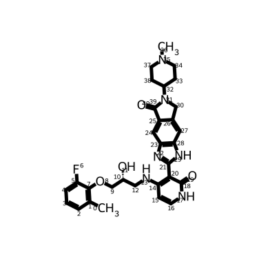 Cc1cccc(F)c1OC[C@H](O)CNc1cc[nH]c(=O)c1-c1nc2cc3c(cc2[nH]1)CN(C1CCN(C)CC1)C3=O